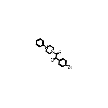 O=C(C(=S)N1CCN(c2ccccc2)CC1)c1ccc(Br)cc1